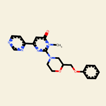 Cn1c(N2CCOC(COc3ccccc3)C2)nc(-c2ccncn2)cc1=O